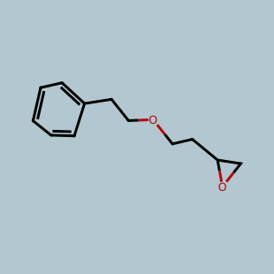 c1ccc(CCOCCC2CO2)cc1